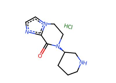 Cl.O=C1c2nccn2CCN1[C@@H]1CCCNC1